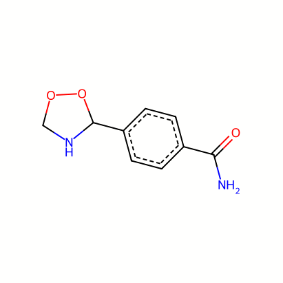 NC(=O)c1ccc(C2NCOO2)cc1